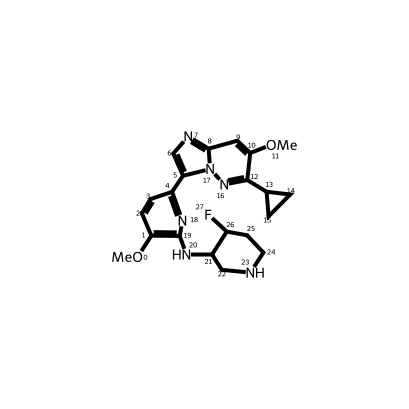 COc1ccc(-c2cnc3cc(OC)c(C4CC4)nn23)nc1NC1CNCCC1F